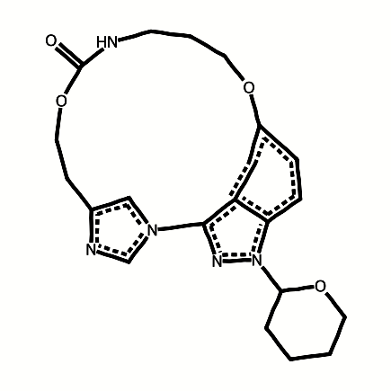 O=C1NCCCOc2ccc3c(c2)c(nn3C2CCCCO2)-n2cnc(c2)CCO1